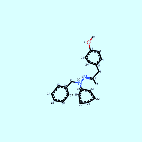 COc1ccc(CC(C)=NN(Cc2ccccc2)c2ccccc2)cc1